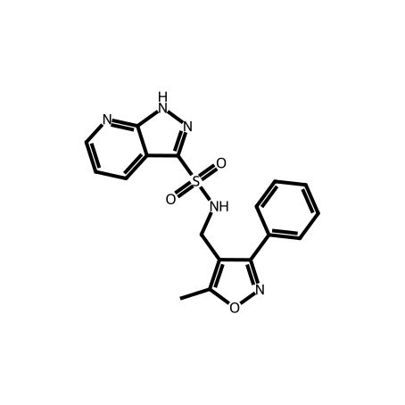 Cc1onc(-c2ccccc2)c1CNS(=O)(=O)c1n[nH]c2ncccc12